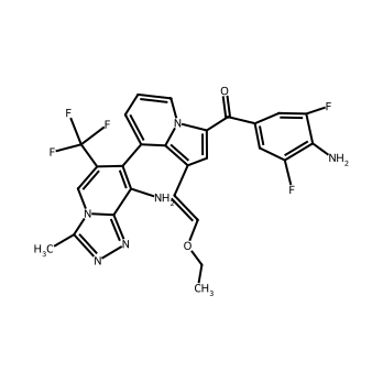 CCO/C=C/c1cc(C(=O)c2cc(F)c(N)c(F)c2)n2cccc(-c3c(C(F)(F)F)cn4c(C)nnc4c3N)c12